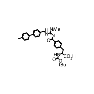 CNC(=NC(=O)c1ccc(CC(NC(=O)OC(C)(C)C)C(=O)O)cc1)NCc1ccc(-c2ccc(C)cc2)cc1